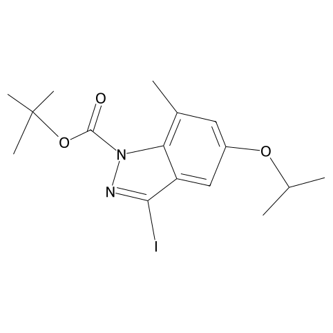 Cc1cc(OC(C)C)cc2c(I)nn(C(=O)OC(C)(C)C)c12